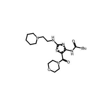 CC(C)(C)C(=O)Nc1nc(NCCN2CCCCC2)sc1C(=O)N1CCOCC1